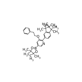 CC1(C)OB(c2cnc(-c3ccc4c(c3)C(C)(C)C(C)(C)C4(C)C)c(OCCc3ccccc3)c2)OC1(C)C